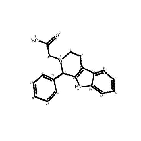 O=C(O)CN1CCc2c([nH]c3ccccc23)C1c1ccccc1